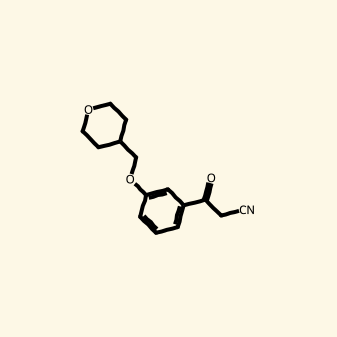 N#CCC(=O)c1cccc(OCC2CCOCC2)c1